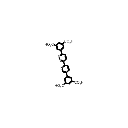 O=C(O)c1cc(C(=O)O)cc(-c2ccc(-c3ccc(-c4cc(C(=O)O)cc(C(=O)O)c4)nn3)nc2)c1